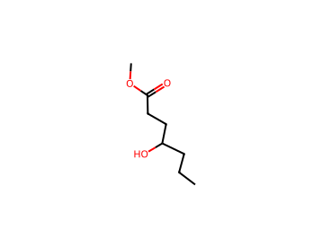 CCCC(O)CCC(=O)OC